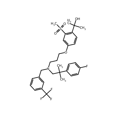 CC(C)(O)c1ccc(OCCCN(Cc2cccc(C(F)(F)F)c2)CC(C)(C)c2ccc(F)cc2)cc1S(C)(=O)=O